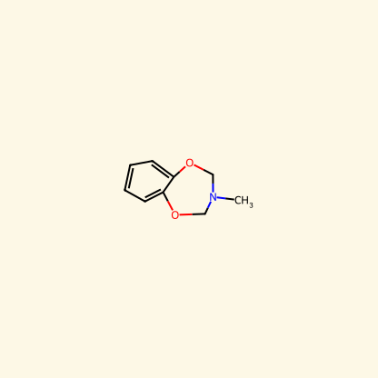 CN1COc2ccccc2OC1